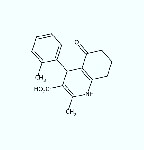 CC1=C(C(=O)O)C(c2ccccc2C)C2=C(CCCC2=O)N1